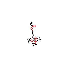 C=CC(=O)OCCCC[Si](O[Si](C)(C)C)(O[Si](C)(C)C)O[Si](C)(C)C